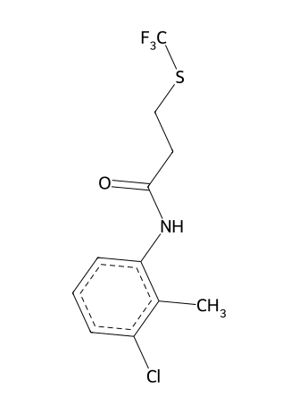 Cc1c(Cl)cccc1NC(=O)CCSC(F)(F)F